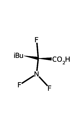 CC[C@H](C)[C@@](F)(C(=O)O)N(F)F